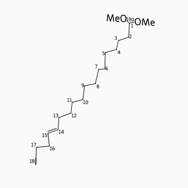 COC(CCCCCCCCCCCC/C=C/CCI)OC